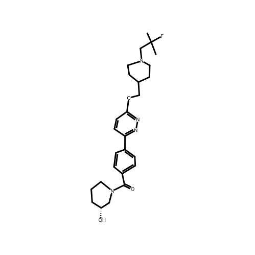 CC(C)(F)CN1CCC(COc2ccc(-c3ccc(C(=O)N4CCC[C@@H](O)C4)cc3)nn2)CC1